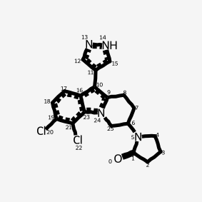 O=C1CCCN1C1CCc2c(-c3cn[nH]c3)c3ccc(Cl)c(Cl)c3n2C1